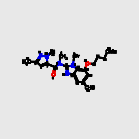 CCCn1c(N(C)C(=O)c2cc(C)nn2CC)nc2cc(C=O)cc(OCCCOC)c21